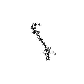 CC(C)(CC(=O)N1CCCC1)OC(=O)NCCOCCOCCOCCC(=O)NCCC(=O)OC(N)=O